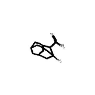 NC(=O)C1C2CC3CC(C2)CC1(N)C3